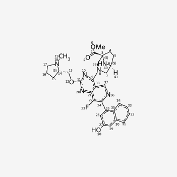 COC(=O)[C@]12CC[C@@H](CN(c3nc(OC[C@@H]4CCCN4C)nc4c(F)c(-c5cc(O)cc6ccccc56)ncc34)C1)N2